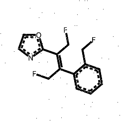 FCC(=C(CF)c1ccccc1CF)c1ncco1